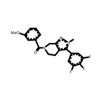 COc1cccc(C(=O)N2CCc3c(nn(C)c3-c3cc(F)c(F)c(F)c3)C2)c1